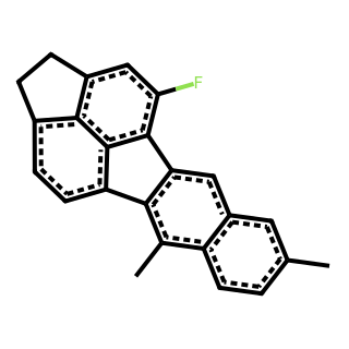 Cc1ccc2c(C)c3c(cc2c1)-c1c(F)cc2c4c(ccc-3c14)CC2